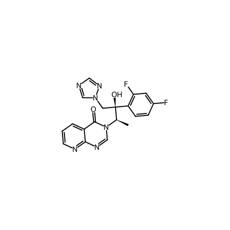 C[C@@H](n1cnc2ncccc2c1=O)[C@](O)(Cn1cncn1)c1ccc(F)cc1F